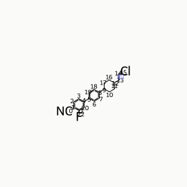 N#Cc1ccc(-c2ccc(C3CCC(/C=C/Cl)CC3)cc2)cc1F